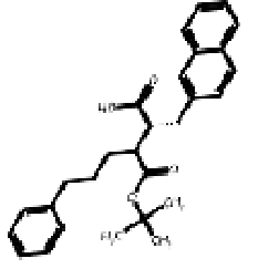 CC(C)(C)OC(=O)C(CCCc1ccccc1)[C@@H](Cc1ccc2ccccc2c1)C(=O)O